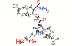 NC(=O)c1cc2cc(Cl)ccc2cc1OCC(=O)c1cn(CC[C@H](O)CO)c2cc(C3CC3)ccc12